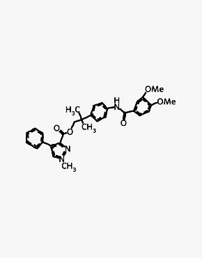 COc1ccc(C(=O)Nc2ccc(C(C)(C)COC(=O)c3nn(C)cc3-c3ccccc3)cc2)cc1OC